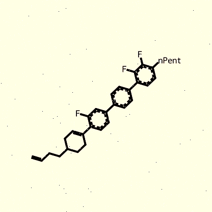 C=CCCC1CC=C(c2ccc(-c3ccc(-c4ccc(CCCCC)c(F)c4F)cc3)cc2F)CC1